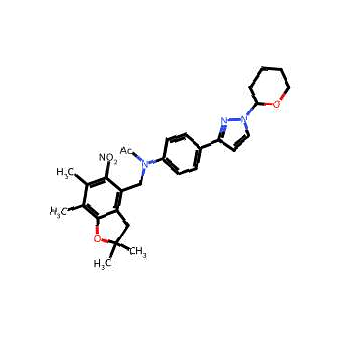 CC(=O)N(Cc1c2c(c(C)c(C)c1[N+](=O)[O-])OC(C)(C)C2)c1ccc(-c2ccn(C3CCCCO3)n2)cc1